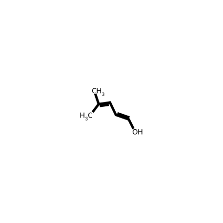 CC(C)=CC=CO